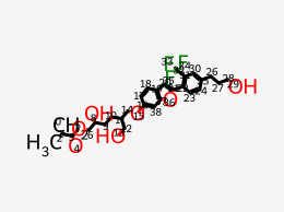 C=C(C)C(=O)OCC(O)CCC(CO)COc1ccc2cc(-c3ccc(CCCO)cc3C(F)(F)F)oc2c1